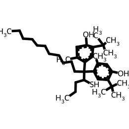 CCCCCCCCCCCC(c1cc(C(C)(C)C)c(O)cc1C)(c1cc(C(C)(C)C)c(O)cc1C)C(S)CCC